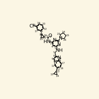 O=C(Nc1cc(NCc2cn3cc(C4CC4)ccc3n2)nc(N2CCCC2)n1)[C@@H]1C[C@H]1c1cccc(Cl)c1